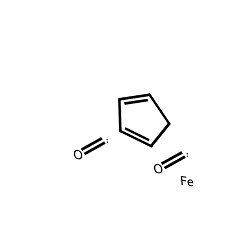 C1=CCC=C1.[C]=O.[C]=O.[Fe]